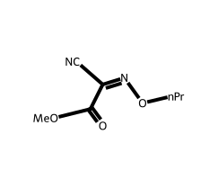 CCCON=C(C#N)C(=O)OC